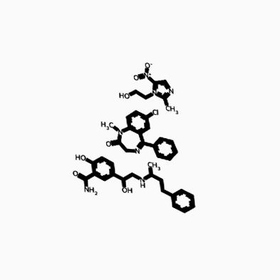 CC(CCc1ccccc1)NCC(O)c1ccc(O)c(C(N)=O)c1.CN1C(=O)CN=C(c2ccccc2)c2cc(Cl)ccc21.Cc1ncc([N+](=O)[O-])n1CCO